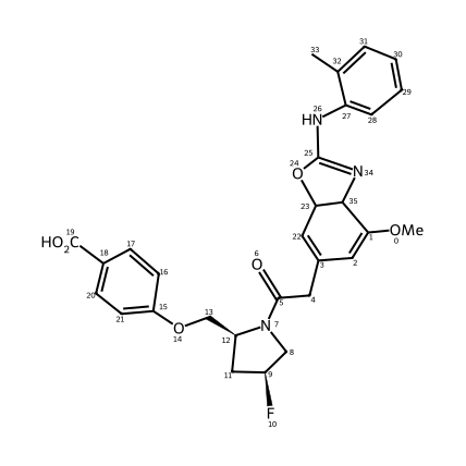 COC1=CC(CC(=O)N2C[C@@H](F)C[C@H]2COc2ccc(C(=O)O)cc2)=CC2OC(Nc3ccccc3C)=NC12